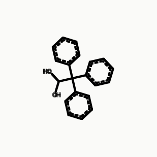 OC(O)C(c1ccccc1)(c1ccccc1)c1ccccc1